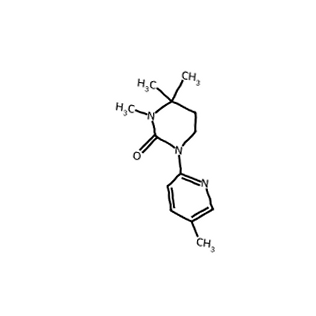 Cc1ccc(N2CCC(C)(C)N(C)C2=O)nc1